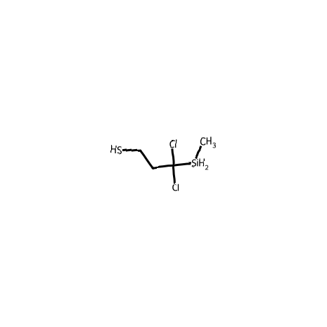 C[SiH2]C(Cl)(Cl)CCS